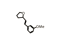 COc1cccc(C=CC2CCCO2)c1